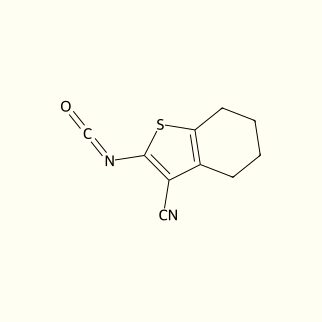 N#Cc1c(N=C=O)sc2c1CCCC2